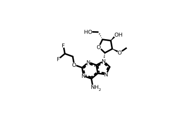 CO[C@@H]1[C@H](O)[C@@H](CO)O[C@H]1n1cnc2c(N)nc(OCC(F)F)nc21